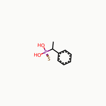 CC(c1ccccc1)P(O)(O)=S